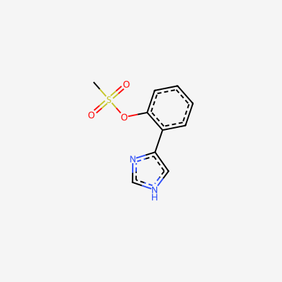 CS(=O)(=O)Oc1ccccc1-c1c[nH]cn1